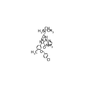 Cc1ccc(-c2nn(COCC[Si](C)(C)C)c(Nc3ccccn3)c2C(N)=O)cc1OCc1ccc(Cl)cc1